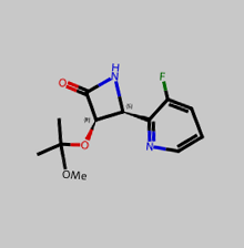 COC(C)(C)O[C@H]1C(=O)N[C@H]1c1ncccc1F